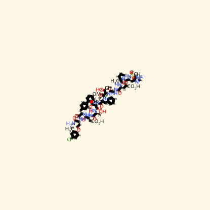 CCc1cc(OC)ccc1-c1ccc(C[C@H](NC(=O)[C@H](CC(=O)O)NC(=O)[C@H](CO)NC(=O)[C@@H](NC(=O)C(C)(Cc2ccccc2F)NC(=O)[C@@H](NC(=O)CNC(=O)[C@H](CCC(=O)O)NC(=O)C2(C)CCCN2C(=O)[C@H](Cc2c[nH]cn2)NS(C)(=O)=O)[C@@H](C)O)[C@@H](C)O)C(=O)N[C@@H](CCOc2ccc(Cl)cc2C)C(N)=O)cc1